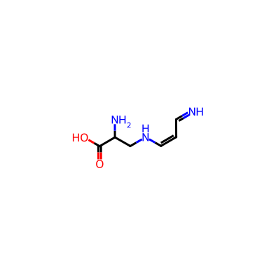 N=C/C=C\NCC(N)C(=O)O